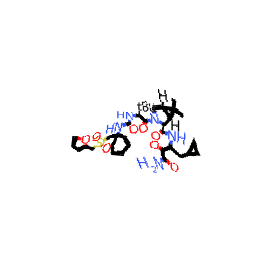 CC(C)(C)[C@H](NC(=O)NC1(CS(=O)(=O)Cc2ccco2)CCCCC1)C(=O)N1C[C@H]2[C@@H]([C@H]1C(=O)NC(CC1CC1)C(=O)C(N)=O)C2(C)C